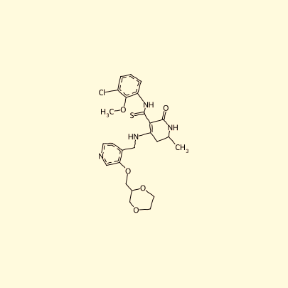 COc1c(Cl)cccc1NC(=S)C1=C(NCc2ccncc2OCC2COCCO2)CC(C)NC1=O